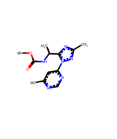 Cc1nc(C(C)NC(=O)OC(C)(C)C)n(-c2cc(C#N)ncn2)n1